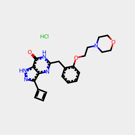 Cl.O=c1[nH]c(Cc2ccccc2OCCN2CCOCC2)nc2c(C3=CC=C3)n[nH]c12